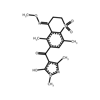 CON=C1CCS(=O)(=O)c2c(C)cc(C(=O)c3c(C)nn(C)c3O)c(C)c21